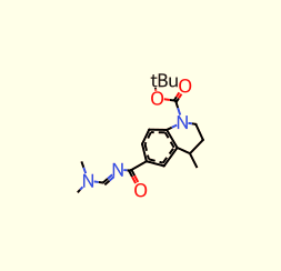 CC1CCN(C(=O)OC(C)(C)C)c2ccc(C(=O)N=CN(C)C)cc21